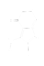 O=C1CCC=C2N=C(Br)C(SC(F)(F)F)=C12